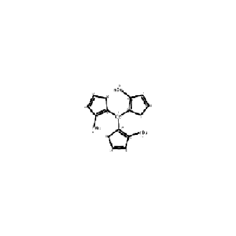 CCCCC1=[C]([Ce]([C]2=C(CCCC)C=CC2)[C]2=C(CCCC)C=CC2)CC=C1